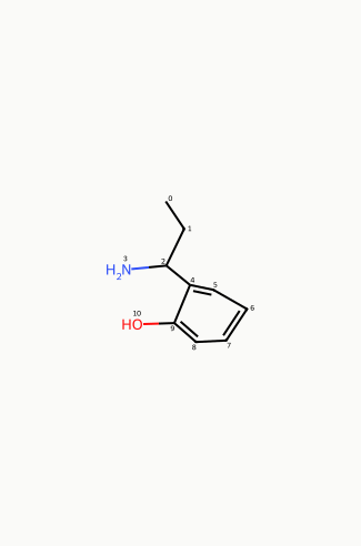 CCC(N)c1ccccc1O